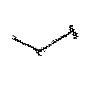 CC(C)(C)OC(=O)CCCCCCCCCCCCCCCCC(=O)NC(CCC(=O)NCCOCCOCC(=O)NCCOCCOCC(=O)NCCCc1cc(CO)ccc1-c1ccc(CO)cc1)C(=O)OC(C)(C)C